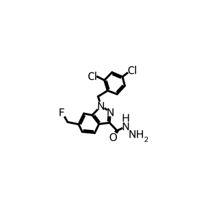 NNC(=O)c1nn(Cc2ccc(Cl)cc2Cl)c2cc(CF)ccc12